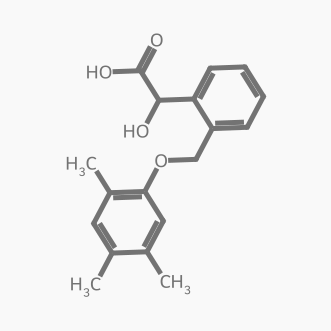 Cc1cc(C)c(OCc2ccccc2C(O)C(=O)O)cc1C